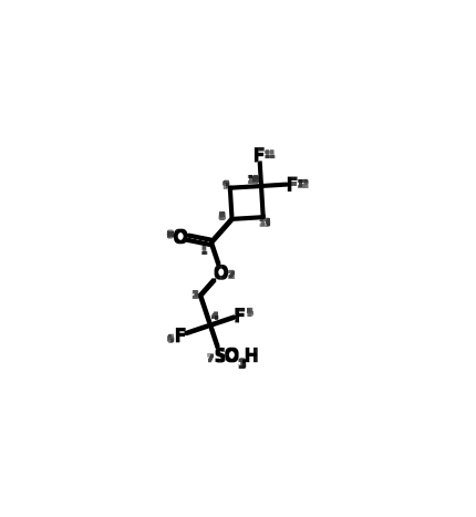 O=C(OCC(F)(F)S(=O)(=O)O)C1CC(F)(F)C1